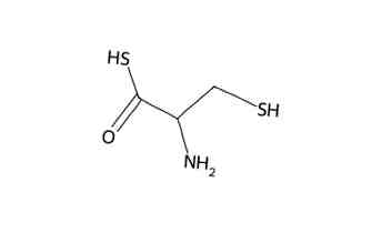 NC(CS)C(=O)S